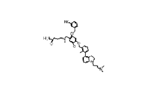 Cc1c(COc2cc(OCc3cccc(C#N)c3)c(CNCCCC(N)=O)cc2Cl)cccc1-c1cccc2c1CCN2CCCN(C)C